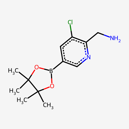 CC1(C)OB(c2cnc(CN)c(Cl)c2)OC1(C)C